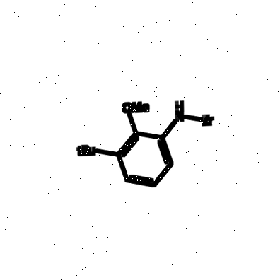 COc1c([NH][Zr])cccc1C(C)(C)C